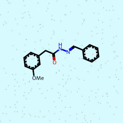 COc1cccc(CC(=O)NN=Cc2[c]cccc2)c1